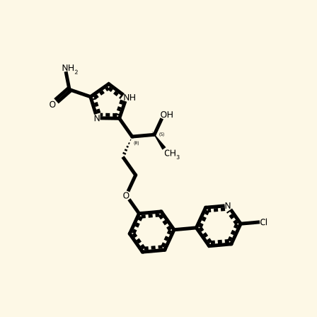 C[C@H](O)[C@H](CCOc1cccc(-c2ccc(Cl)nc2)c1)c1nc(C(N)=O)c[nH]1